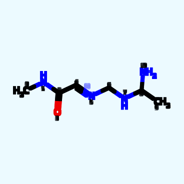 CNC(=O)/C=N/CNC(C)N